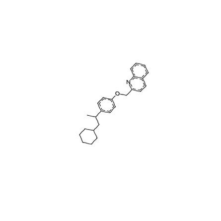 CC(CC1CCCCC1)c1ccc(OCc2ccc3ccccc3n2)cc1